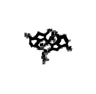 CC1=Cc2c(C)ccc(C)c2C1[Si](C)(C)C1C(C)=Cc2c(C)ccc(C)c21.[Cl-].[Cl-].[Zr+2]